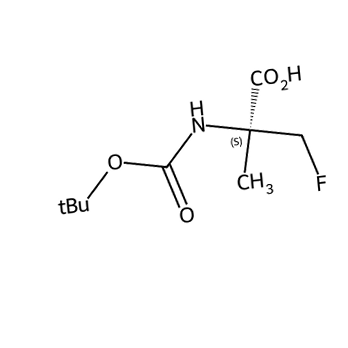 CC(C)(C)OC(=O)N[C@](C)(CF)C(=O)O